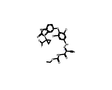 CCOC(=O)NC(=O)/C(C#N)=N/Nc1cc(Cl)c(Oc2ccc3[nH]c(=O)n(C4(C(F)F)CC4)c3c2)c(Cl)c1